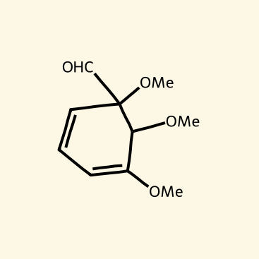 COC1=CC=CC(C=O)(OC)C1OC